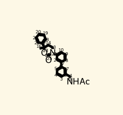 CC(=O)NCc1cccc(-c2cccc(N3CCC(C)(c4ccccc4)OC3=O)c2)c1